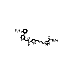 CNC(=O)c1cn(CCCCc2ccc(NC(=O)Cc3cc(-c4ccccc4OC(F)(F)F)ccn3)nn2)nn1